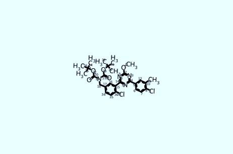 COc1nc(-c2ccc(Cl)c(C)c2)nc(-c2cc(CN(C(=O)OC(C)(C)C)C(=O)OC(C)(C)C)ccc2Cl)n1